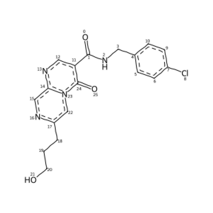 O=C(NCc1ccc(Cl)cc1)c1cnc2cnc(CCCO)cn2c1=O